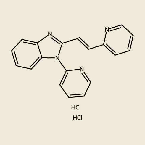 C(=Cc1nc2ccccc2n1-c1ccccn1)c1ccccn1.Cl.Cl